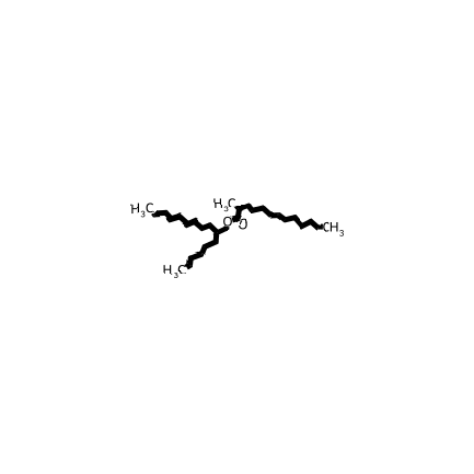 CCCCCCCCCCCC(C)C(=O)OCC(CCCCCC)CCCCCCCCC